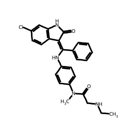 CCNCC(=O)N(C)c1ccc(NC(=C2C(=O)Nc3cc(Cl)ccc32)c2ccccc2)cc1